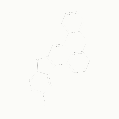 Clc1ccc2[nH]c3cc4c5c(cccc5c3c2c1)Sc1ccccc1-4